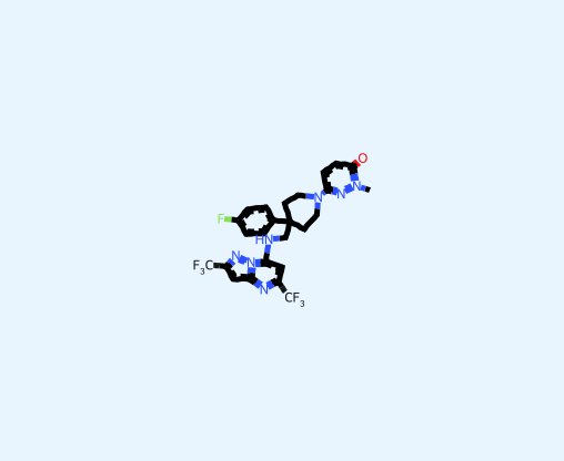 Cn1nc(N2CCC(CNc3cc(C(F)(F)F)nc4cc(C(F)(F)F)nn34)(c3ccc(F)cc3)CC2)ccc1=O